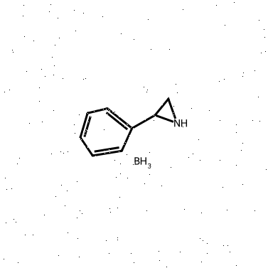 B.c1ccc(C2CN2)cc1